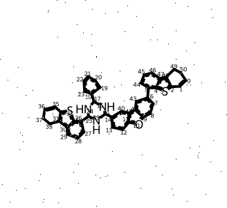 C1=Cc2sc3c(-c4ccc5oc6ccc(C7NC(c8ccccc8)NC(c8cccc9c%10c(sc89)C=CCC%10)N7)cc6c5c4)cccc3c2CC1